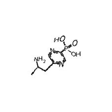 C[C@@H](N)Cc1cnc(P(=O)(O)O)cn1